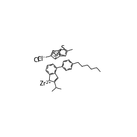 CC1=C2c3sc(C)cc3C1[Si]2(C)C.CCCCCCc1ccc(-c2cccc3c2C=C(C(C)C)[CH]3[Zr+2])cc1.[Cl-].[Cl-]